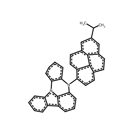 CC(C)c1cc2ccc3ccc(N4c5ccccc5-n5c6ccccc6c6cccc4c65)c4ccc(c1)c2c34